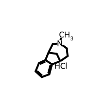 CN1CCC2CC(C1)c1ccccc12.Cl